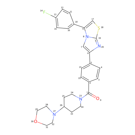 O=C(c1ccc(-c2cn3c(-c4ccc(F)cc4)csc3n2)cc1)N1CCC(N2CCOCC2)CC1